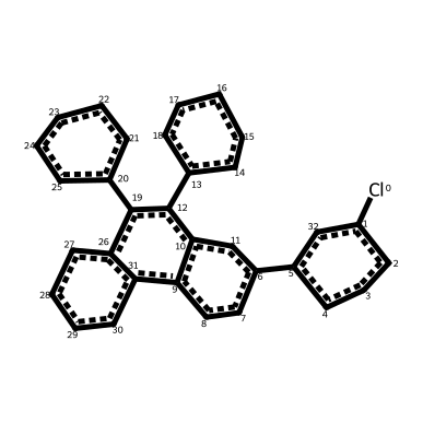 Clc1cccc(-c2ccc3c(c2)c(-c2ccccc2)c(-c2ccccc2)c2ccccc23)c1